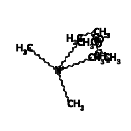 CCCCC(CC)COP(=O)([O-])OCC(CC)CCCC.CCCCCCCCCCCC[N+](CCCCCCCCCCCC)(CCCCCCCCCCCC)CCCCCCCCCCCC